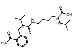 CC(C)N[C@@H](CCCCNC(=O)[C@@H](Cc1ccccc1C(N)=O)C(C)C)C(=O)O